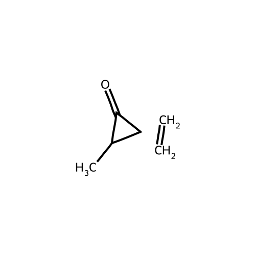 C=C.CC1CC1=O